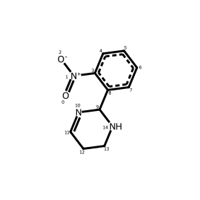 O=[N+]([O-])c1ccccc1C1N=CCCN1